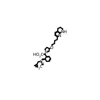 C=NN(/C=C1\CC=CC=C1C(C(=O)O)N1CCC(OCCCCc2ccc3c(n2)NCCC3)C1)CC1CC1